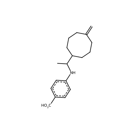 C=C1CCCC(C(C)Nc2ccc(C(=O)O)cc2)CCC1